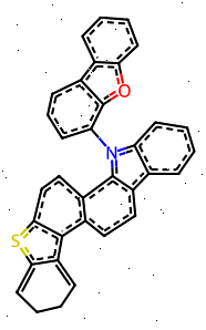 C1=c2sc3ccc4c(ccc5c6ccccc6n(-c6cccc7c6oc6ccccc67)c45)c3c2=CCC1